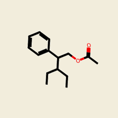 CCC(CC)C(COC(C)=O)c1ccccc1